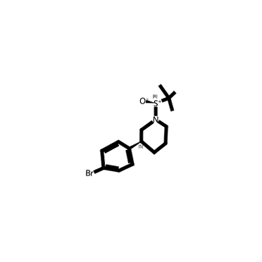 CC(C)(C)[S@+]([O-])N1CCC[C@@H](c2ccc(Br)cc2)C1